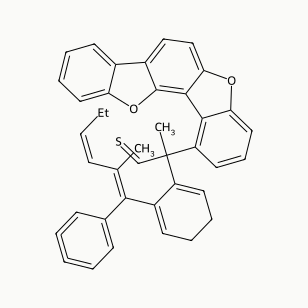 CC/C=C\C(C)=C(/C1=CC=C=C=C1)C1=CCCC=C1C(C)(C=S)c1cccc2oc3ccc4c5ccccc5oc4c3c12